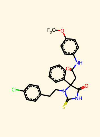 O=C(CC1(c2ccccc2)C(=O)NC(=S)N1CCc1ccc(Cl)cc1)Nc1ccc(OC(F)(F)F)cc1